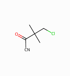 CC(C)(CCl)C(=O)C#N